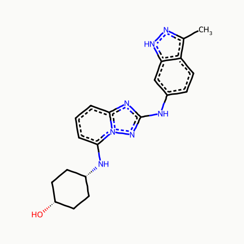 Cc1n[nH]c2cc(Nc3nc4cccc(N[C@H]5CC[C@@H](O)CC5)n4n3)ccc12